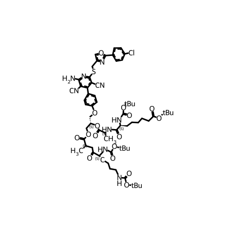 [C-]#[N+]c1c(N)nc(SCc2coc(-c3ccc(Cl)cc3)n2)c(C#N)c1-c1ccc(OC[C@@H](COC(=O)[C@H](C)CC(=O)[C@H](CCCCNC(=O)OC(C)(C)C)NC(=O)OC(C)(C)C)OC(=O)[C@H](C)NC(=O)[C@H](CCCCCC(=O)OC(C)(C)C)NC(=O)OC(C)(C)C)cc1